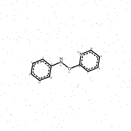 c1ccc(NOc2ccccn2)cc1